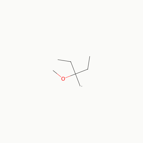 [CH2]C(CC)(CC)OC